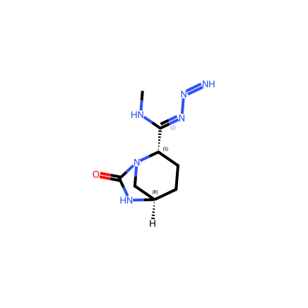 CN/C(=N\N=N)[C@@H]1CC[C@@H]2CN1C(=O)N2